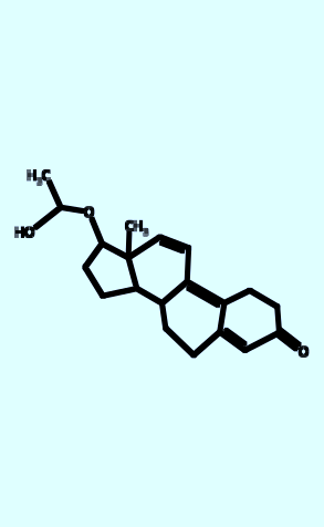 CC(O)OC1CCC2C3CCC4=CC(=O)CCC4=C3C=CC12C